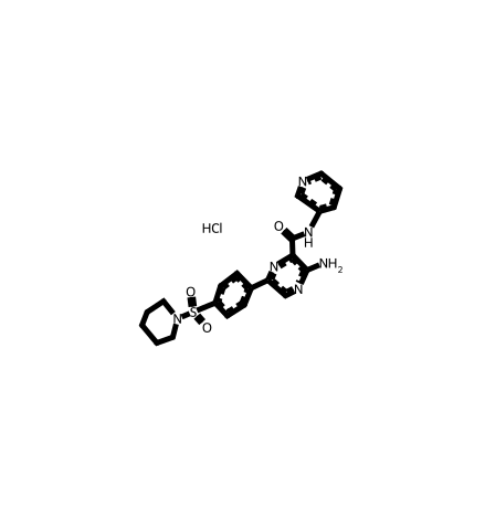 Cl.Nc1ncc(-c2ccc(S(=O)(=O)N3CCCCC3)cc2)nc1C(=O)Nc1cccnc1